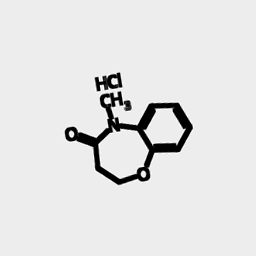 CN1C(=O)CCOc2ccccc21.Cl